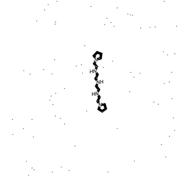 C1CCN(CCNCCNCCNCCN2CCCC2)C1